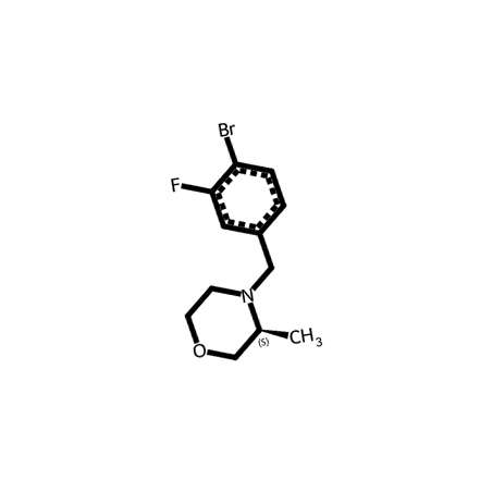 C[C@H]1COCCN1Cc1ccc(Br)c(F)c1